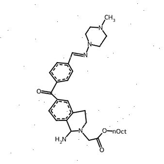 CCCCCCCCOC(=O)CN1CCc2cc(C(=O)c3ccc(C=NN4CCN(C)CC4)cc3)ccc2C1N